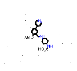 COc1ccc(-c2ccncc2)cc1CNC1CCC(NC(=O)O)CC1